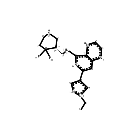 CCn1cc(-c2cc3nccnc3c(NC[C@H]3CNCCC3(F)F)n2)cn1